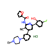 CCN1CCN(c2cccc(-c3cc(-c4ccc(F)cc4O)nc(NC(=O)c4ccco4)c3C#N)c2)CC1.Cl